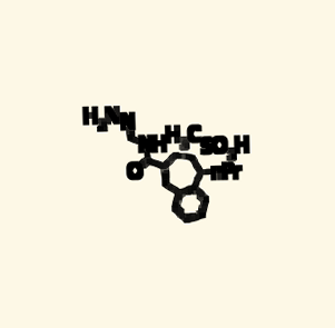 CCCC1CCC(C(=O)NC=NN)=Cc2ccccc21.CS(=O)(=O)O